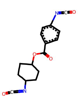 O=C=Nc1ccc(C(=O)OC2CCC(N=C=O)CC2)cc1